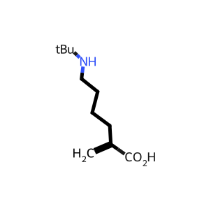 C=C(CCCCNC(C)(C)C)C(=O)O